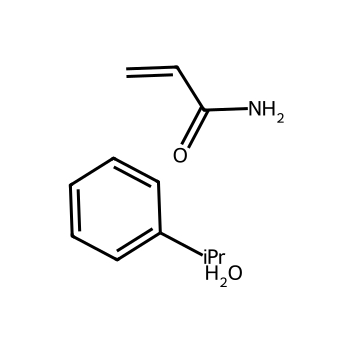 C=CC(N)=O.CC(C)c1ccccc1.O